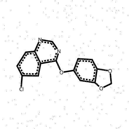 Clc1ccc2ncnc(Oc3ccc4c(c3)OCO4)c2c1